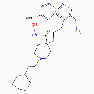 COc1ccc2ncc(CN)c([C@H](F)CCC3(C(=O)NO)CCN(CCC4CCCCC4)CC3)c2c1